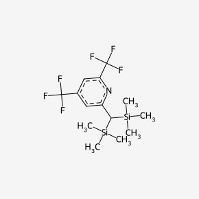 C[Si](C)(C)C(c1cc(C(F)(F)F)cc(C(F)(F)F)n1)[Si](C)(C)C